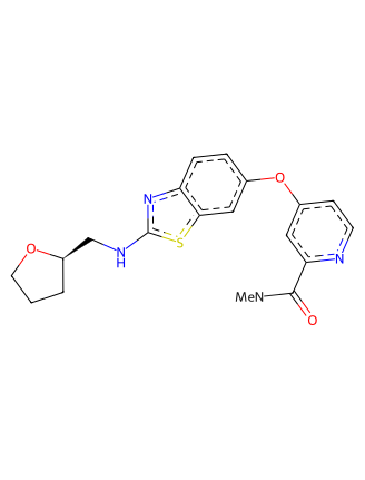 CNC(=O)c1cc(Oc2ccc3nc(NC[C@H]4CCCO4)sc3c2)ccn1